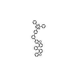 c1ccc(-c2nc(-c3ccccc3)nc(-c3ccc(-c4cccc(-c5ccc6c(c5)oc5cccc(-c7ccccc7-c7cccc8oc9ccccc9c78)c56)c4)cc3)n2)cc1